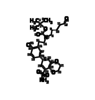 CC(C)(C)OC(=O)N(CCCCC=O)CCc1cc(-c2cc3c(c(S(N)(=O)=O)c2)OCCO3)ccc1Cl